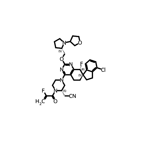 C=C(F)C(=O)N1CCN(c2nc(OC[C@@H]3CCCN3C3CCOC3)nc3c2CC[C@@]2(CCc4c(Cl)cccc42)[C@H]3F)C[C@@H]1CC#N